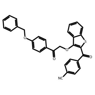 N#Cc1ccc(C(=O)c2sc3ccccc3c2OCC(=O)c2ccc(OCc3ccccc3)cc2)cc1